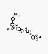 CC(C)Oc1ccc(-c2ccc(CN)cc2)cc1S(=O)(=O)N1CCC2(CC1)C[C@@H](NC[C@H](O)COc1cccc(S(=O)(=O)C3CC3)c1)CO2